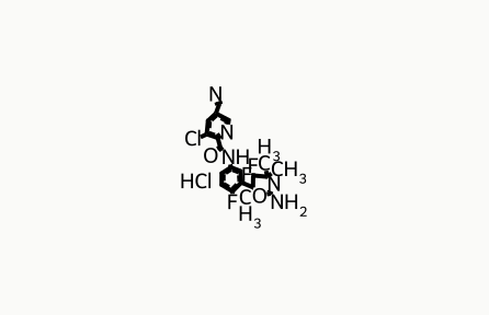 CC1(C)N=C(N)O[C@](C)(c2cc(NC(=O)c3ncc(C#N)cc3Cl)ccc2F)C1(F)F.Cl